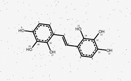 Oc1ccc(/C=C/c2ccc(O)c(O)c2O)c(O)c1O